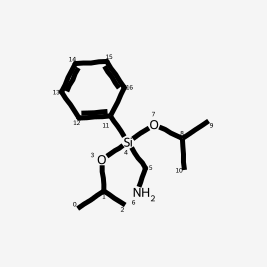 CC(C)O[Si](CN)(OC(C)C)c1ccccc1